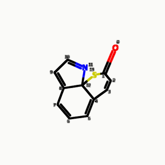 O=C1C=CC2=CC=CC3=CC=NC23S1